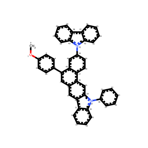 COc1ccc(-c2cc3cc4c5ccccc5n(-c5ccccc5)c4cc3c3ccc(-n4c5ccccc5c5ccccc54)cc23)cc1